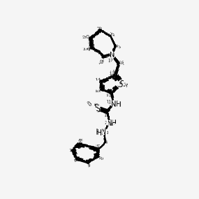 S=C(NNCc1ccccc1)Nc1ccc(CN2CCCCCC2)s1